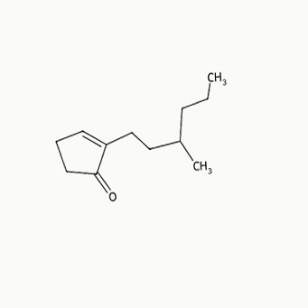 CCCC(C)CCC1=CCCC1=O